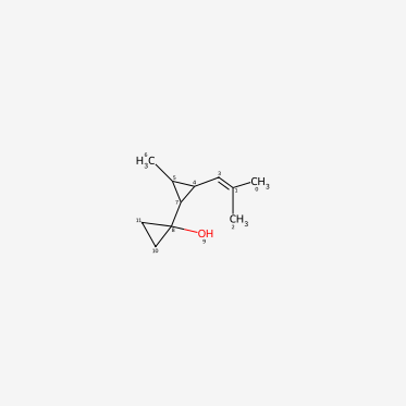 CC(C)=CC1C(C)C1C1(O)CC1